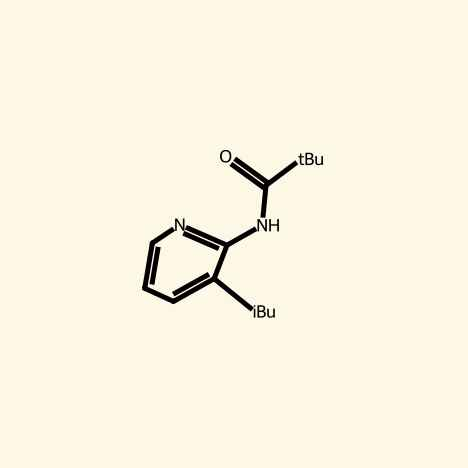 CCC(C)c1cccnc1NC(=O)C(C)(C)C